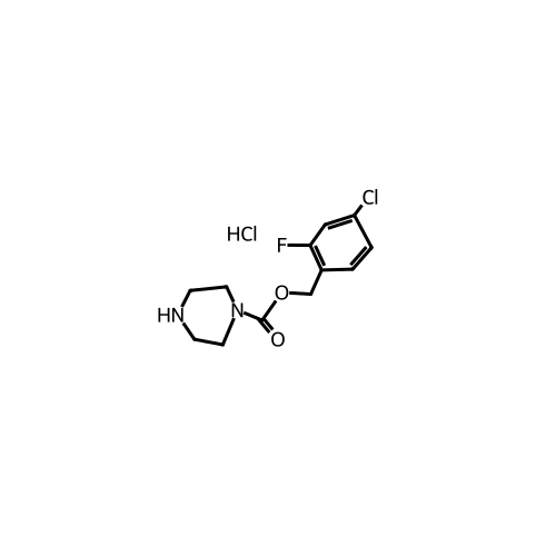 Cl.O=C(OCc1ccc(Cl)cc1F)N1CCNCC1